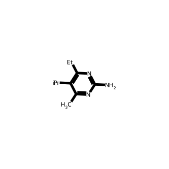 CCc1nc(N)nc(C)c1C(C)C